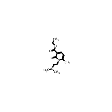 CCOC(=O)c1ccc(C)n(CCN(C)C)c1=O